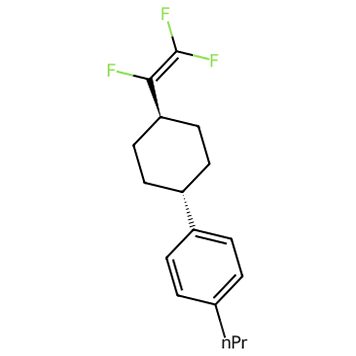 CCCc1ccc([C@H]2CC[C@H](C(F)=C(F)F)CC2)cc1